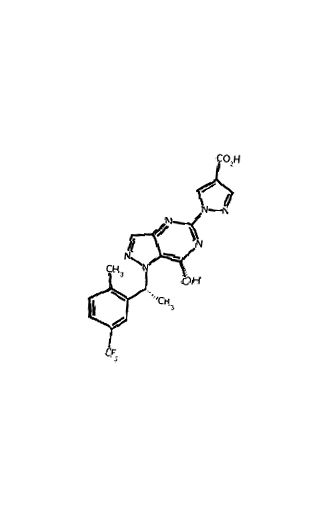 Cc1ccc(C(F)(F)F)cc1[C@@H](C)n1ncc2nc(-n3cc(C(=O)O)cn3)nc(O)c21